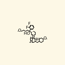 CNCC(CC1CCC(OC)CC1)NC(=O)N1CCC[C@@H]([C@](O)(CCCCOC)c2cccc(F)c2F)C1